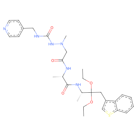 CCOC(Cc1csc2ccccc12)(OCC)[C@H](C)NC(=O)[C@H](C)NC(=O)CN(C)NC(=O)NCc1ccncc1